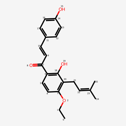 CCOc1ccc(C(=O)C=Cc2ccc(O)cc2)c(O)c1CC=C(C)C